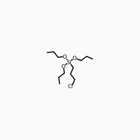 CCCO[Si](CCCCl)(OCCC)OCCC